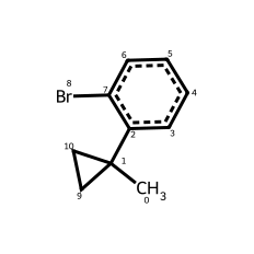 CC1(c2ccccc2Br)CC1